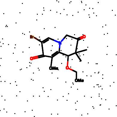 COCOC1c2c(OC)c(=O)c(Br)cn2CC(=O)C1(C)C